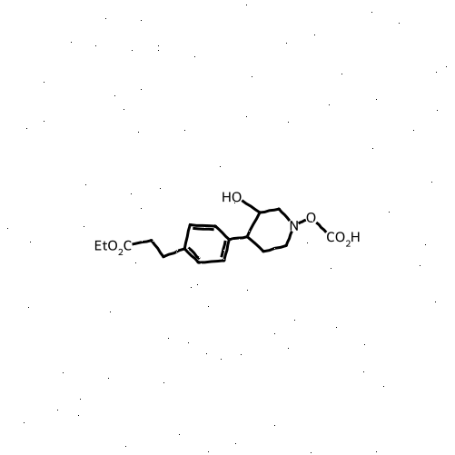 CCOC(=O)CCc1ccc(C2CCN(OC(=O)O)CC2O)cc1